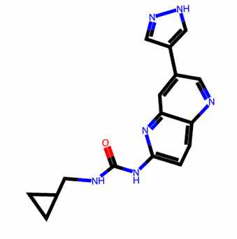 O=C(NCC1CC1)Nc1ccc2ncc(-c3cn[nH]c3)cc2n1